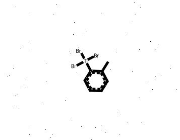 Cc1cccc[c]1[Ti]([Br])([Br])[Br]